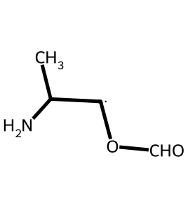 CC(N)[CH]OC=O